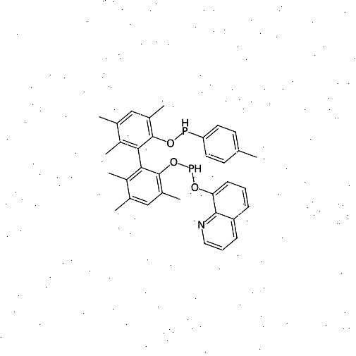 Cc1ccc(POc2c(C)cc(C)c(C)c2-c2c(C)c(C)cc(C)c2OPOc2cccc3cccnc23)cc1